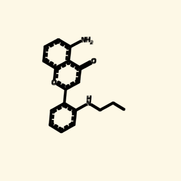 CCCNc1ccccc1-c1cc(=O)c2c(N)cccc2o1